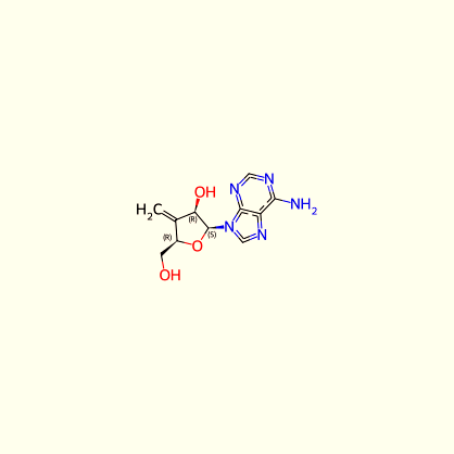 C=C1[C@H](CO)O[C@H](n2cnc3c(N)ncnc32)[C@@H]1O